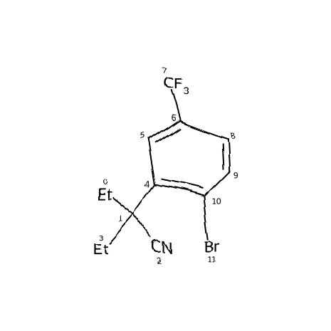 CCC(C#N)(CC)c1cc(C(F)(F)F)ccc1Br